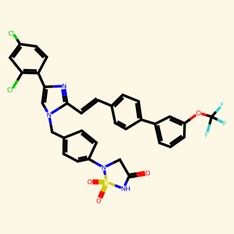 O=C1CN(c2ccc(Cn3cc(-c4ccc(Cl)cc4Cl)nc3/C=C/c3ccc(-c4cccc(OC(F)(F)F)c4)cc3)cc2)S(=O)(=O)N1